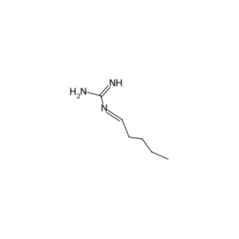 CCCCC=NC(=N)N